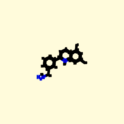 Cc1cc(C)c2ccc(-c3cccc(CN)c3)nc2c1